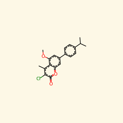 COc1cc(-c2ccc(C(C)C)cc2)cc2oc(=O)c(Cl)c(C)c12